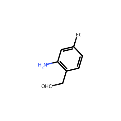 CCc1ccc(CC=O)c(N)c1